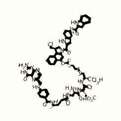 C[C@@H](CCC(=O)NC[C@H](N)C(=O)N[C@@H](CC(=O)O)C(=O)N[C@@H](CSSCCOC(=O)Oc1cc2c(c3ccccc13)C(CCl)CN2C(=O)c1cc2cc(NC(=O)c3cc4ccccc4[nH]3)ccc2[nH]1)C(=O)O)NC(=O)c1ccc(NCc2cnc3nc(N)[nH]c(=O)c3n2)cc1